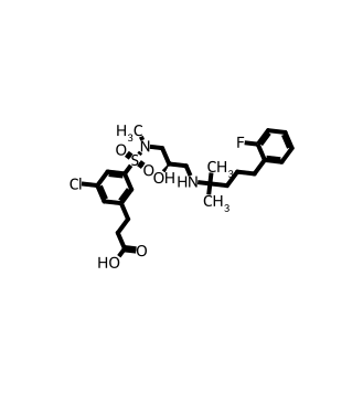 CN(C[C@H](O)CNC(C)(C)CCCc1ccccc1F)S(=O)(=O)c1cc(Cl)cc(CCC(=O)O)c1